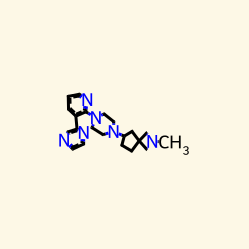 CN1CC2(CCC(N3CCN(c4ncccc4-c4cnccn4)CC3)C2)C1